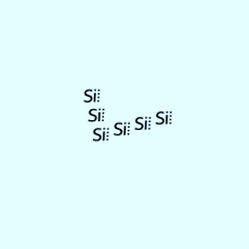 [Si].[Si].[Si].[Si].[Si].[Si]